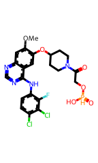 COc1cc2ncnc(Nc3ccc(Cl)c(Cl)c3F)c2cc1OC1CCN(C(=O)CO[PH](=O)O)CC1